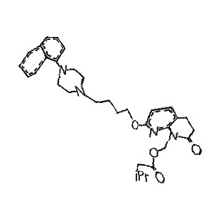 CC(C)CC(=O)OCN1C(=O)CCc2ccc(OCCCCN3CCN(c4cccc5ccccc45)CC3)nc21